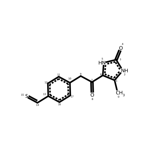 Cc1[nH]c(=O)[nH]c1C(=O)Cc1ccc(C=S)cc1